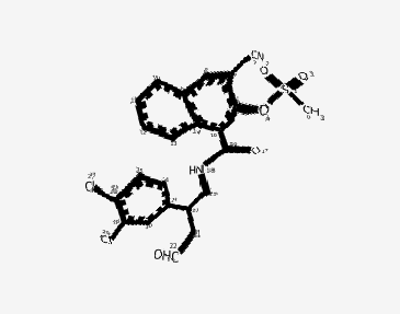 CS(=O)(=O)Oc1c(C#N)cc2ccccc2c1C(=O)NCC(CC=O)c1ccc(Cl)c(Cl)c1